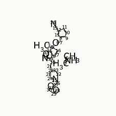 CNC.Cc1c(OCc2cccc(C#N)c2)ccc2c(CCC3CCN(CC4OCCO4)CC3)noc12